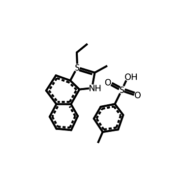 CCS1=C(C)Nc2c1ccc1ccccc21.Cc1ccc(S(=O)(=O)O)cc1